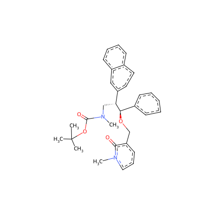 CN(C[C@H](c1ccc2ccccc2c1)[C@H](OCc1cccn(C)c1=O)c1ccccc1)C(=O)OC(C)(C)C